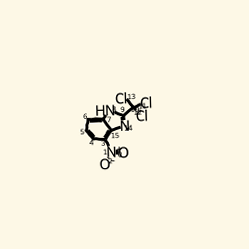 O=[N+]([O-])c1cccc2[nH]c(C(Cl)(Cl)Cl)nc12